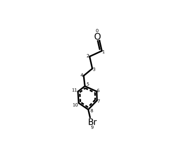 O=CCCCc1ccc(Br)cc1